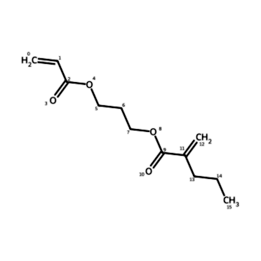 C=CC(=O)OCCCOC(=O)C(=C)CCC